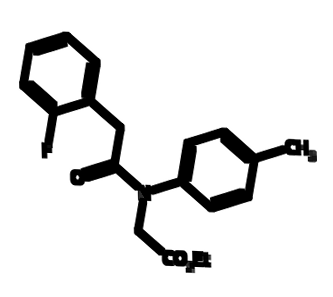 CCOC(=O)CN(C(=O)Cc1ccccc1F)c1ccc(C)cc1